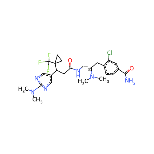 CN(C)c1ncc(C(CC(=O)NC[C@H](Cc2ccc(C(N)=O)cc2Cl)N(C)C)C2(C(F)(F)F)CC2)cn1